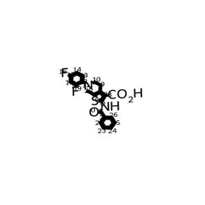 O=C(Nc1sc2c(c1C(=O)O)CCN(c1ccc(F)cc1F)C2)c1ccccc1